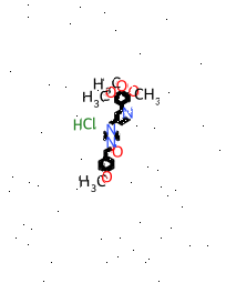 COc1ccc(CC(=O)N2CCN(Cc3ccnc(-c4cc(OC)c(OC)c(OC)c4)c3)CC2)cc1.Cl